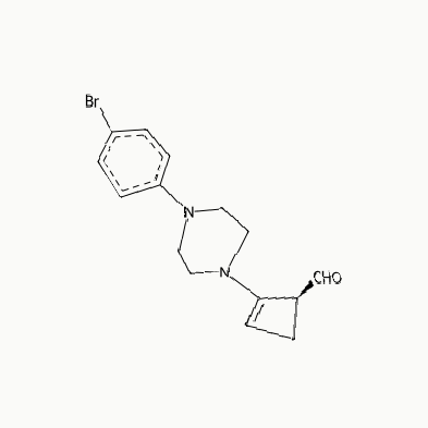 O=C[C@H]1CC=C1N1CCN(c2ccc(Br)cc2)CC1